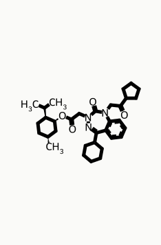 CC(C)[C@@H]1CC[C@@H](C)C[C@H]1OC(=O)CN1N=C(C2CCCCC2)c2ccccc2N(CC(=O)C2CCCC2)C1=O